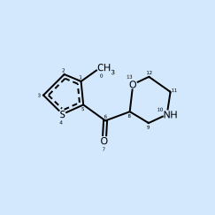 Cc1ccsc1C(=O)C1CNCCO1